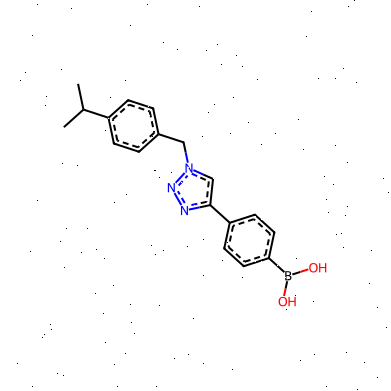 CC(C)c1ccc(Cn2cc(-c3ccc(B(O)O)cc3)nn2)cc1